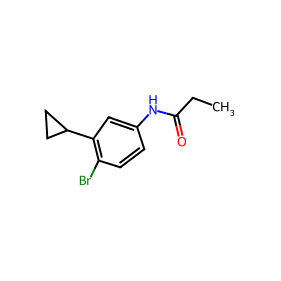 CCC(=O)Nc1ccc(Br)c(C2CC2)c1